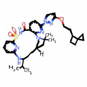 CC(C)C1CC[C@@H]2CN(c3nc(-n4ccc(OCCC5CCC56CC6)n4)ccc3C(=O)NS(=O)(=O)c3cccc(n3)N1)C(C)(C)C2